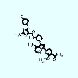 COc1nc(-c2cc(N3CCCC(NC(=O)c4sc(C)nc4OC4CCC(=O)CC4)C3)c3c(N)ncnn23)ccc1C(N)=O